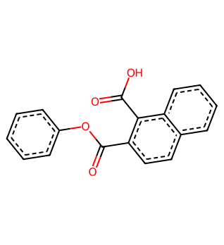 O=C(Oc1ccccc1)c1ccc2ccccc2c1C(=O)O